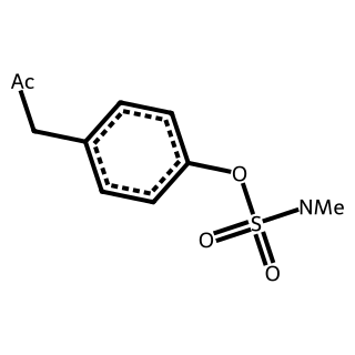 CNS(=O)(=O)Oc1ccc(CC(C)=O)cc1